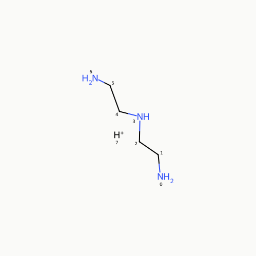 NCCNCCN.[H+]